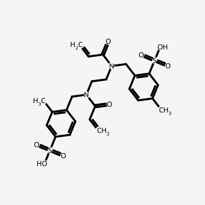 C=CC(=O)N(CCN(Cc1ccc(C)cc1S(=O)(=O)O)C(=O)C=C)Cc1ccc(S(=O)(=O)O)cc1C